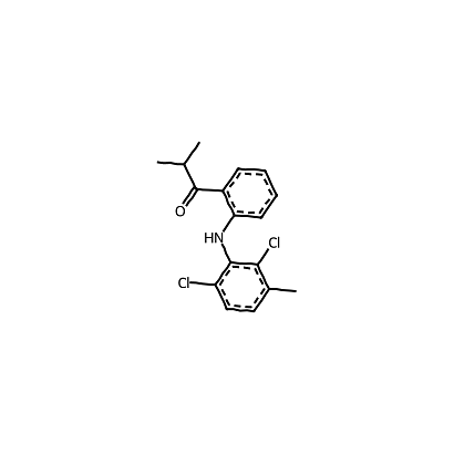 Cc1ccc(Cl)c(Nc2ccccc2C(=O)C(C)C)c1Cl